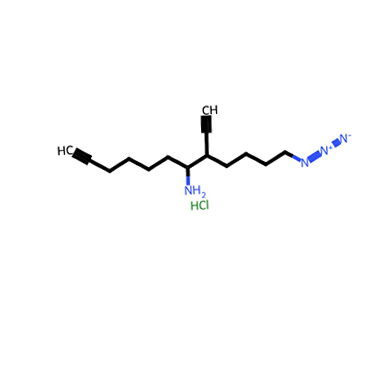 C#CCCCCC(N)C(C#C)CCCCN=[N+]=[N-].Cl